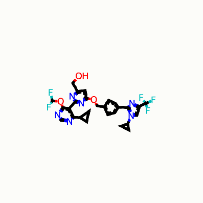 OCc1cc(OCc2ccc(-c3nc(C(F)(F)F)cn3C3CC3)cc2)nc(-c2c(OC(F)F)ncnc2C2CC2)n1